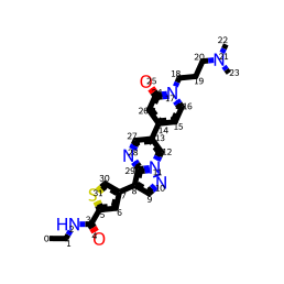 CCNC(=O)c1cc(-c2cnn3cc(-c4ccn(CCCN(C)C)c(=O)c4)cnc23)cs1